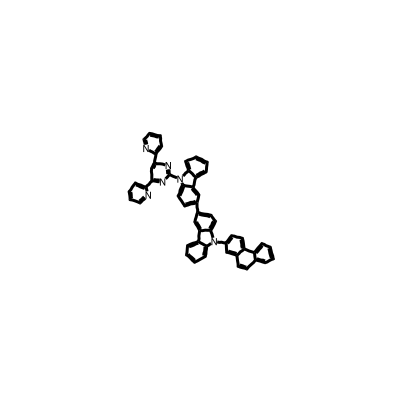 c1ccc(-c2cc(-c3ccccn3)nc(-n3c4ccccc4c4cc(-c5ccc6c(c5)c5ccccc5n6-c5ccc6c(ccc7ccccc76)c5)ccc43)n2)nc1